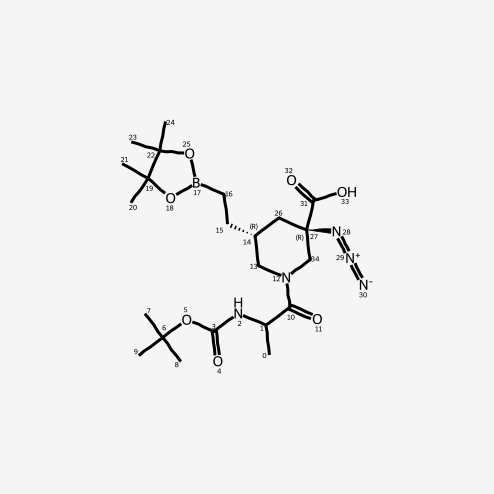 CC(NC(=O)OC(C)(C)C)C(=O)N1C[C@H](CCB2OC(C)(C)C(C)(C)O2)C[C@](N=[N+]=[N-])(C(=O)O)C1